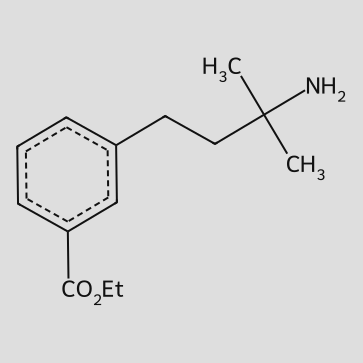 CCOC(=O)c1cccc(CCC(C)(C)N)c1